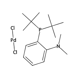 CN(C)c1ccccc1P(C(C)(C)C)C(C)(C)C.[Cl][Pd][Cl]